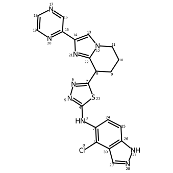 Clc1c(Nc2nnc(C3CCCn4cc(-c5cnccn5)nc43)s2)ccc2[nH]ncc12